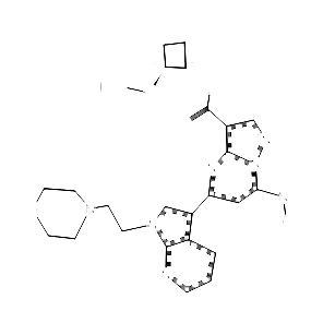 CNc1cc(-c2cn(CCN3CCOCC3)c3ncccc23)nc2c(C(=O)O[C@H]3CC[C@@H]3OC)cnn12